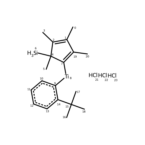 CC1=C(C)C(C)([SiH3])[C]([Ti][c]2ccccc2C(C)(C)C)=C1C.Cl.Cl.Cl